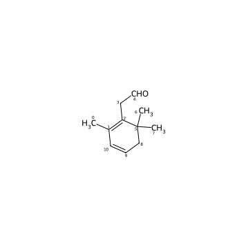 CC1=C(CC=O)C(C)(C)CC=C1